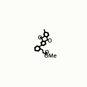 COC(=O)CCc1ccccc1-c1ccc2c(c1)C(=O)c1cc(C)ccc1C2=O